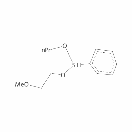 CCCO[SiH](OCCOC)c1ccccc1